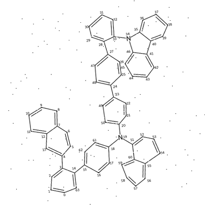 c1ccc(-c2ccc3ccccc3c2)c(-c2ccc(N(c3ccc(-c4ccc(-c5ccccc5-n5c6ccccc6c6ccccc65)cc4)cc3)c3cccc4ccccc34)cc2)c1